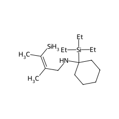 CC[Si](CC)(CC)C1(NCC(C)=C(C)[SiH3])CCCCC1